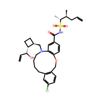 C=CC[C@H](C)[C@@H](C)S(=O)(=O)NC(=O)c1ccc2c(c1)N(C[C@@H]1CC[C@H]1C(O)C=C)CCCCc1cc(Cl)ccc1CO2